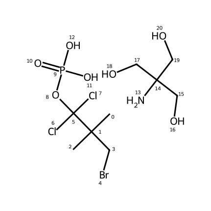 CC(C)(CBr)C(Cl)(Cl)OP(=O)(O)O.NC(CO)(CO)CO